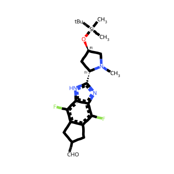 CN1C[C@H](O[Si](C)(C)C(C)(C)C)C[C@H]1c1nc2c(F)c3c(c(F)c2[nH]1)CC(C=O)C3